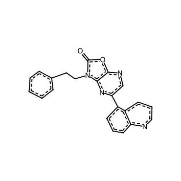 O=c1oc2ncc(-c3cccc4ncccc34)nc2n1CCc1ccccc1